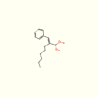 CCCCCC/C(=C\c1ccccc1)C(OC)OC